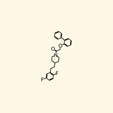 O=C(COc1ccccc1-c1ccccc1)N1CCC(CCc2cc(F)ccc2F)CC1